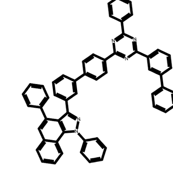 c1ccc(-c2cccc(-c3nc(-c4ccccc4)nc(-c4ccc(-c5cccc(-c6nn(-c7ccccc7)c7c6c(-c6ccccc6)cc6ccccc67)c5)cc4)n3)c2)cc1